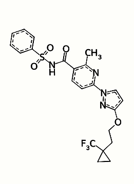 Cc1nc(-n2ccc(OCCC3(C(F)(F)F)CC3)n2)ccc1C(=O)NS(=O)(=O)c1ccccc1